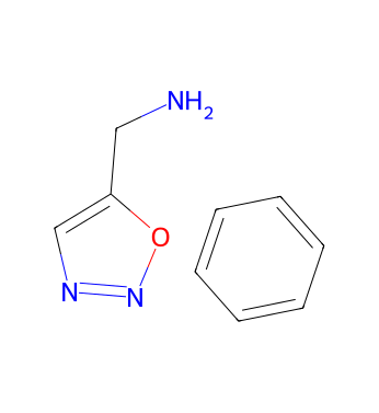 NCc1cnno1.c1ccccc1